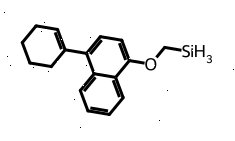 [SiH3]COc1ccc(C2=CCCCC2)c2ccccc12